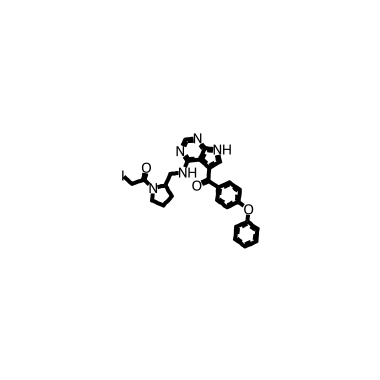 O=C(c1ccc(Oc2ccccc2)cc1)c1c[nH]c2ncnc(NCC3CCCN3C(=O)CI)c12